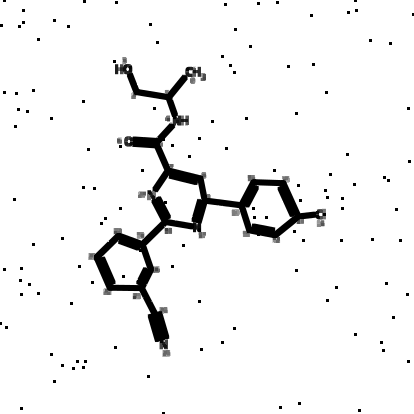 CC(CO)NC(=O)c1cc(-c2ccc(Cl)cc2)nc(-c2cccc(C#N)c2)n1